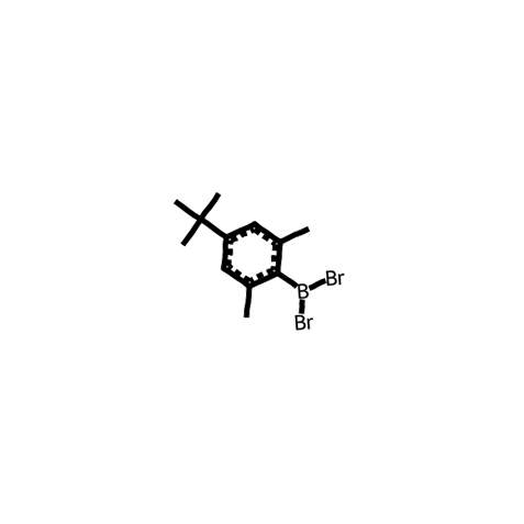 Cc1cc(C(C)(C)C)cc(C)c1B(Br)Br